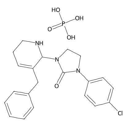 O=C1N(c2ccc(Cl)cc2)CCN1C1NCCC=C1Cc1ccccc1.O=P(O)(O)O